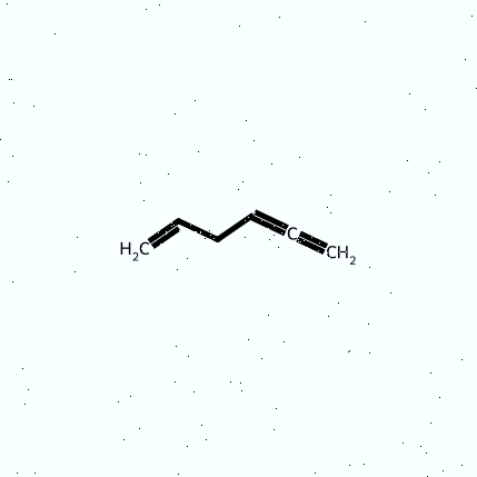 C=C=CCC=C